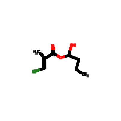 CCCC(O)OC(=O)C(C)=CCl